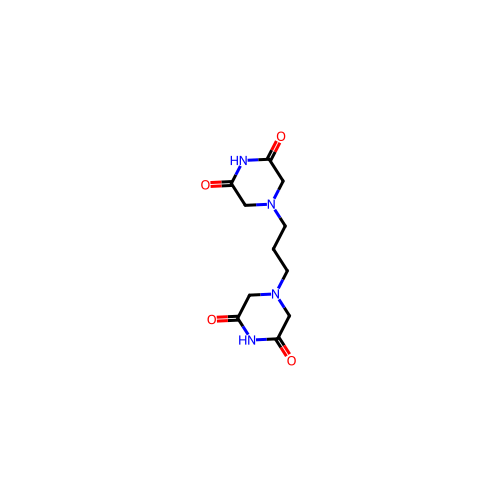 O=C1CN(CCCN2CC(=O)NC(=O)C2)CC(=O)N1